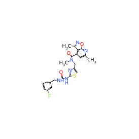 Cc1cc(C(=O)N(C)Cc2csc(NC(=O)NCc3cccc(F)c3)n2)c2c(C)noc2n1